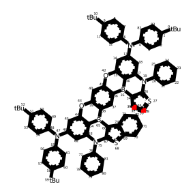 CC(C)(C)c1ccc(N(c2ccc(C(C)(C)C)cc2)c2cc3c4c(c2)N(c2ccccc2)c2sc5ccccc5c2B4c2cc4c(cc2O3)Oc2cc(N(c3ccc(C(C)(C)C)cc3)c3ccc(C(C)(C)C)cc3)cc3c2B4c2c(sc4ccccc24)N3c2ccccc2)cc1